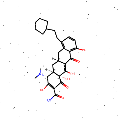 CN(C)[C@H]1C(O)=C(C(N)=O)C(=O)[C@]2(O)C(O)=C3C(=O)c4c(O)ccc(CCC5CCCCC5)c4C[C@@H]3C[C@H]12